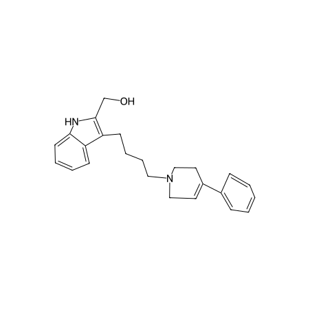 OCc1[nH]c2ccccc2c1CCCCN1CC=C(c2ccccc2)CC1